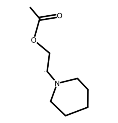 CC(=O)OC[CH]N1CCCCC1